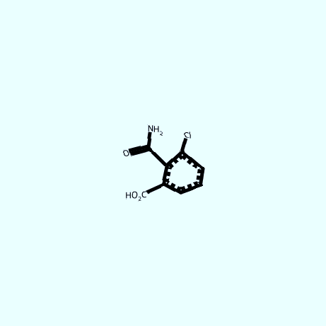 NC(=O)c1c(Cl)cccc1C(=O)O